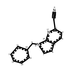 N#Cc1ccc2ccn(Cc3ccccc3)c2n1